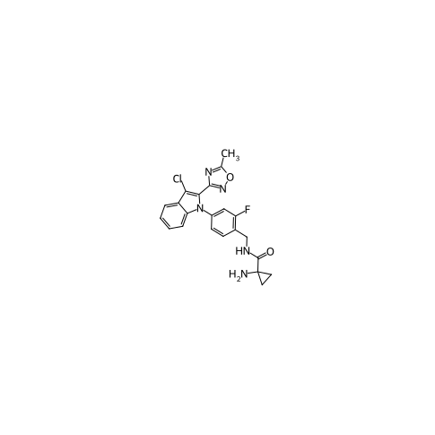 Cc1nc(-c2c(Cl)c3ccccc3n2-c2ccc(CNC(=O)C3(N)CC3)c(F)c2)no1